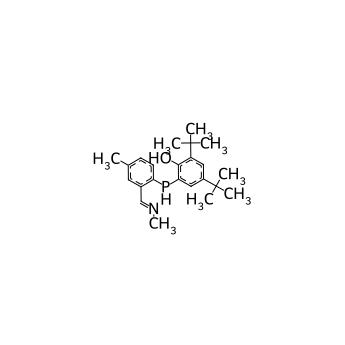 C/N=C/c1cc(C)ccc1Pc1cc(C(C)(C)C)cc(C(C)(C)C)c1O